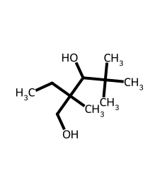 CCC(C)(CO)C(O)C(C)(C)C